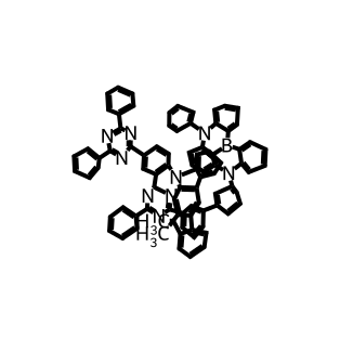 CC1(C)c2ccccc2-c2cc3c4ccccc4n(-c4ccc(-c5nc(-c6ccccc6)nc(-c6ccccc6)n5)cc4-c4nc(-c5ccccc5)nc(-c5cccc(-c6cccc(N7c8ccccc8B8c9ccccc9N(c9ccccc9)c9cccc7c98)c6)c5)n4)c3cc21